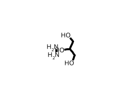 NN.OCC(O)CO